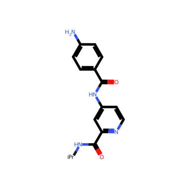 CC(C)NC(=O)c1cc(NC(=O)c2ccc(N)cc2)ccn1